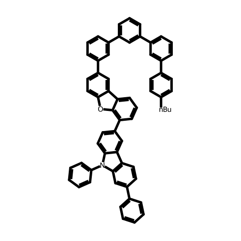 CCCCc1ccc(-c2cccc(-c3cccc(-c4cccc(-c5ccc6oc7c(-c8ccc9c(c8)c8ccc(-c%10ccccc%10)cc8n9-c8ccccc8)cccc7c6c5)c4)c3)c2)cc1